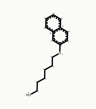 OCCCCCCOc1ccc2ccccc2c1